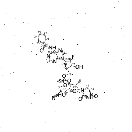 N#CCCOP(=S)(OCC1OC(n2cnc3c(NC(=O)c4ccccc4)ncnc32)C(F)C1O)OC1C(CO)OC(n2ccc(=O)[nH]c2=O)C1F